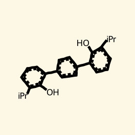 CC(C)c1cccc(-c2ccc(-c3cccc(C(C)C)c3O)cc2)c1O